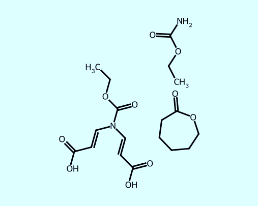 CCOC(=O)N(C=CC(=O)O)C=CC(=O)O.CCOC(N)=O.O=C1CCCCCO1